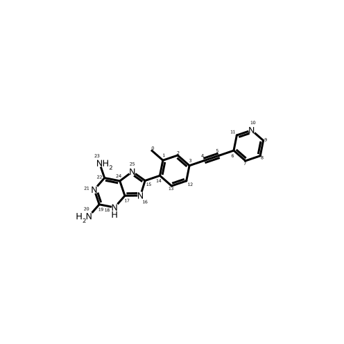 Cc1cc(C#Cc2cccnc2)ccc1-c1nc2[nH]c(N)nc(N)c-2n1